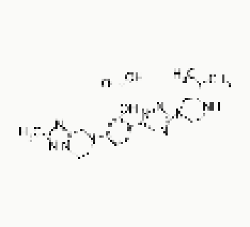 Cc1nc2n(n1)CCN(c1ccc(-c3cnc(N4CCN[C@@H](C(C)C)C4)nn3)c(O)c1)C2.O=CO